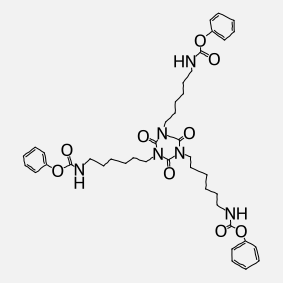 O=C(NCCCCCCn1c(=O)n(CCCCCCNC(=O)Oc2ccccc2)c(=O)n(CCCCCCNC(=O)Oc2ccccc2)c1=O)Oc1ccccc1